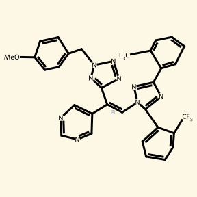 COc1ccc(Cn2nnc(/C(=C\n3nc(-c4ccccc4C(F)(F)F)nc3-c3ccccc3C(F)(F)F)c3cncnc3)n2)cc1